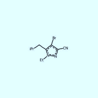 CCn1nc(C#N)c(Br)c1CC(C)C